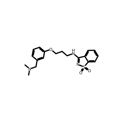 CN(C)Cc1cccc(OCCCNC2=NS(=O)(=O)c3ccccc32)c1